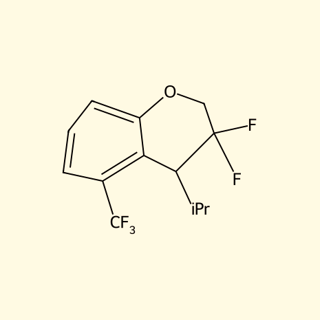 CC(C)C1c2c(cccc2C(F)(F)F)OCC1(F)F